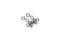 CCN(C)C(=O)Nc1ccc(Cl)cc1.CCN(CC)C(=O)Nc1ccc(Cl)cc1